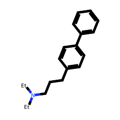 CCN(CC)CCCc1ccc(-c2ccccc2)cc1